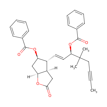 CC#CCC(C)(C)[C@@H](C=C[C@@H]1[C@H]2CC(=O)O[C@H]2C[C@H]1OC(=O)c1ccccc1)OC(=O)c1ccccc1